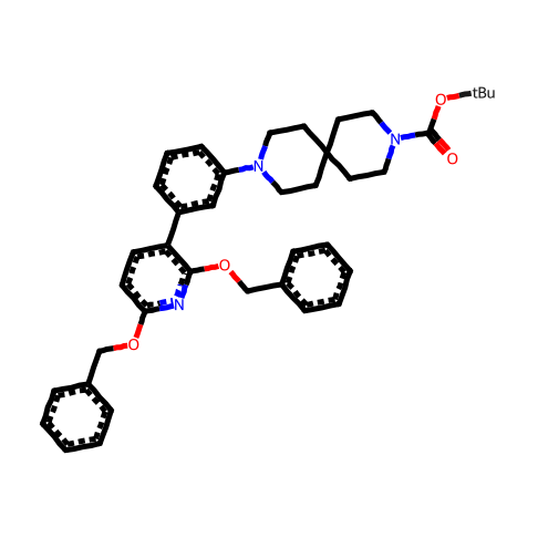 CC(C)(C)OC(=O)N1CCC2(CC1)CCN(c1cccc(-c3ccc(OCc4ccccc4)nc3OCc3ccccc3)c1)CC2